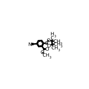 COC(=O)c1cc(C#N)ccc1B1OC(C)(C)C(C)(C)O1